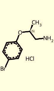 C[C@@H](CN)Oc1ccc(Br)cc1.Cl